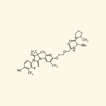 Cc1cc(N2C(=S)N(c3ccc(C#N)c(C(F)(F)F)c3F)C(=O)C2(C)C)cnc1OCCOCC(=O)NC(C(=O)N1CCCC1C)C(C)(C)C